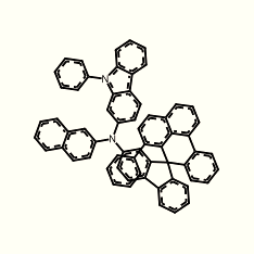 c1ccc(-c2ccc3cccc4c3c2C2(c3ccccc3-c3ccc(N(c5ccc6ccccc6c5)c5ccc6c7ccccc7n(-c7ccccc7)c6c5)cc32)c2ccccc2-4)cc1